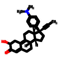 CC#C[C@@]1(c2ccc(N(C)C)cc2)CC[C@H]2[C@@H]3CCC4=CC(=O)C(O)CC4=C3CC[C@@]21C